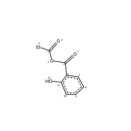 CCC(=O)OC(=O)c1ccccc1O